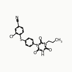 CCCn1c(=O)[nH]c(=O)n(-c2ccc(Sc3ccc(C#N)cc3Cl)cc2)c1=O